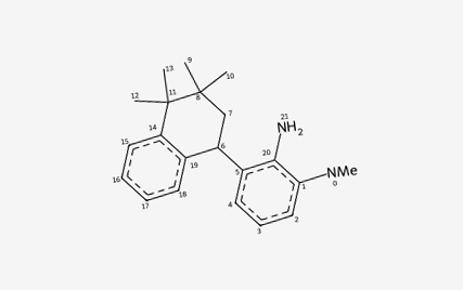 CNc1cccc(C2CC(C)(C)C(C)(C)c3ccccc32)c1N